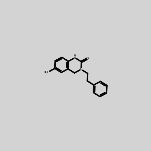 Cc1ccc2c(c1)CN(CCc1ccccc1)C(=S)N2